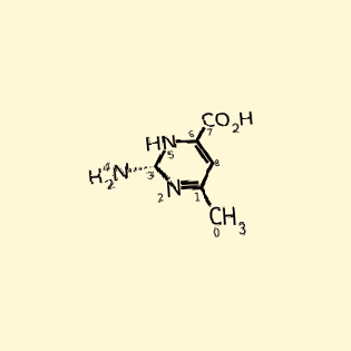 CC1=N[C@H](N)NC(C(=O)O)=C1